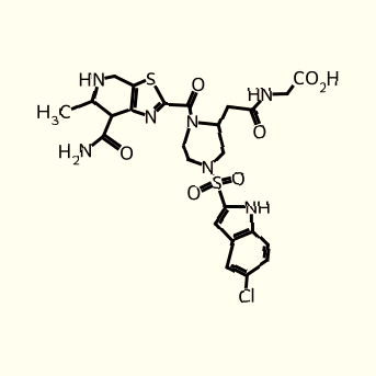 CC1NCc2sc(C(=O)N3CCN(S(=O)(=O)c4cc5cc(Cl)ccc5[nH]4)CC3CC(=O)NCC(=O)O)nc2C1C(N)=O